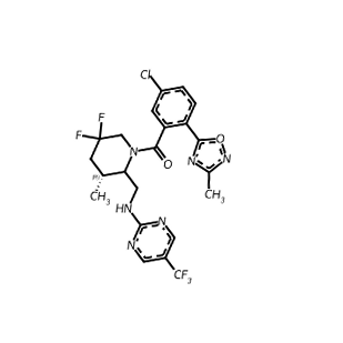 Cc1noc(-c2ccc(Cl)cc2C(=O)N2CC(F)(F)C[C@@H](C)C2CNc2ncc(C(F)(F)F)cn2)n1